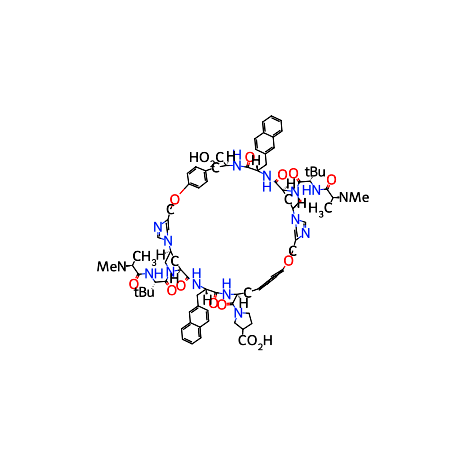 CN[C@@H](C)C(=O)N[C@H](C(=O)N1C[C@@H]2C[C@H]1C(=O)N[C@@H](Cc1ccc3ccccc3c1)C(=O)N[C@H](C(=O)O)Cc1ccc(cc1)OCc1cn(cn1)[C@H]1C[C@@H](C(=O)N[C@@H](Cc3ccc4ccccc4c3)C(=O)N[C@H](C(=O)N3CCC(C(=O)O)C3)Cc3ccc(cc3)OCc3cn2cn3)N(C(=O)[C@@H](NC(=O)[C@H](C)NC)C(C)(C)C)C1)C(C)(C)C